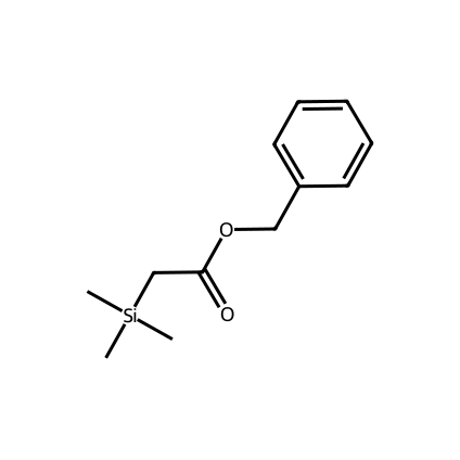 C[Si](C)(C)CC(=O)OCc1ccccc1